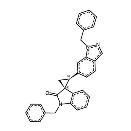 O=C1N(Cc2ccccc2)c2ccccc2[C@]12C[C@H]2c1ccc2cnn(Cc3ccccc3)c2c1